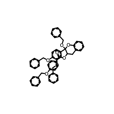 O=C(OC1Cc2ccccc2OC1(OCc1ccccc1)c1ccc(OCc2ccccc2)c(OCc2ccccc2)c1)c1ccc(OCc2ccccc2)cc1